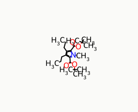 CCCc1c(CCC)c(C(=O)OC(C)(C)C)n(C)c1C(=O)OC(C)(C)C